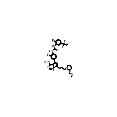 COC[C@@H]1CCCN1CCCc1cc(-c2ccc(NC(=O)Nc3cc(C(F)(F)CF)ccc3F)c(F)c2)c2c(N)ncnn12